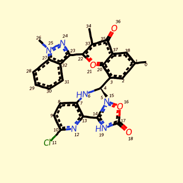 Cc1cc([C@@H](C)Nc2ccc(Cl)nc2-c2noc(=O)[nH]2)c2oc(-c3nn(C)c4ccccc34)c(C)c(=O)c2c1